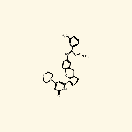 COCC(Nc1ccc2c(c1)Cc1cccc(-c3cc(N4CCOCC4)cc(=O)[nH]3)c1O2)c1cccc(C)n1